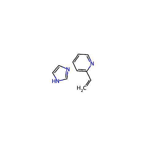 C=Cc1ccccn1.c1c[nH]cn1